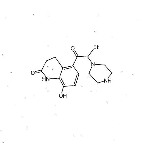 CCC(C(=O)c1ccc(O)c2c1CCC(=O)N2)N1CCNCC1